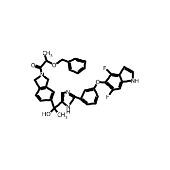 CC(OCc1ccccc1)C(=O)N1Cc2ccc(C(C)(O)c3cnc(-c4cccc(Oc5c(F)cc6[nH]ccc6c5F)c4)[nH]3)cc2C1